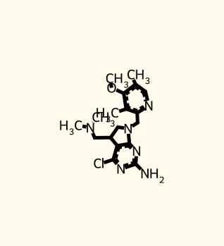 COc1c(C)cnc(CN2CC(CN(C)C)c3c(Cl)nc(N)nc32)c1C